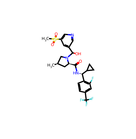 C[C@@H]1C[C@H](C(=O)N[C@@H](c2ccc(C(F)(F)F)cc2F)C2CC2)N(C(O)c2cncc(S(C)(=O)=O)c2)C1